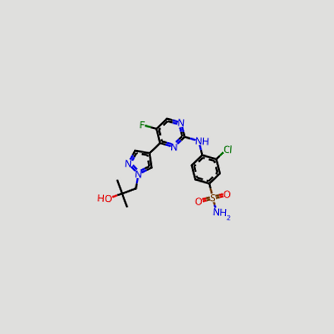 CC(C)(O)Cn1cc(-c2nc(Nc3ccc(S(N)(=O)=O)cc3Cl)ncc2F)cn1